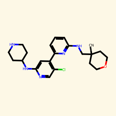 N#CC1(CNc2cccc(-c3cc(NC4CCNCC4)ncc3Cl)n2)CCOCC1